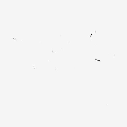 CCCO[C@H]1[C@H](C)OC(=O)[C@@H](NC(=O)c2nccc(OC)c2O)COC[C@@H]1Oc1ccc(C(F)(F)F)cc1